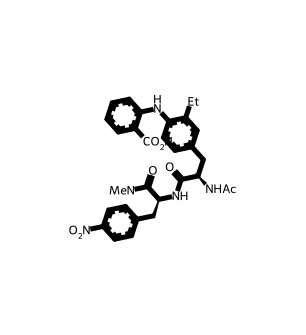 CCc1cc(C[C@@H](NC(C)=O)C(=O)N[C@@H](Cc2ccc([N+](=O)[O-])cc2)C(=O)NC)ccc1Nc1ccccc1C(=O)O